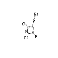 CCC#Cc1cc(F)c(Cl)nc1Cl